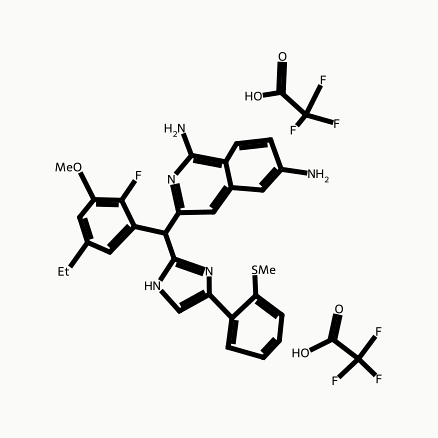 CCc1cc(OC)c(F)c(C(c2cc3cc(N)ccc3c(N)n2)c2nc(-c3ccccc3SC)c[nH]2)c1.O=C(O)C(F)(F)F.O=C(O)C(F)(F)F